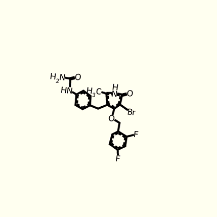 Cc1[nH]c(=O)c(Br)c(OCc2ccc(F)cc2F)c1Cc1ccc(NC(N)=O)cc1